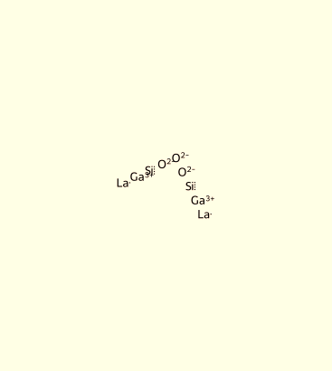 [Ga+3].[Ga+3].[La].[La].[O-2].[O-2].[O-2].[Si].[Si]